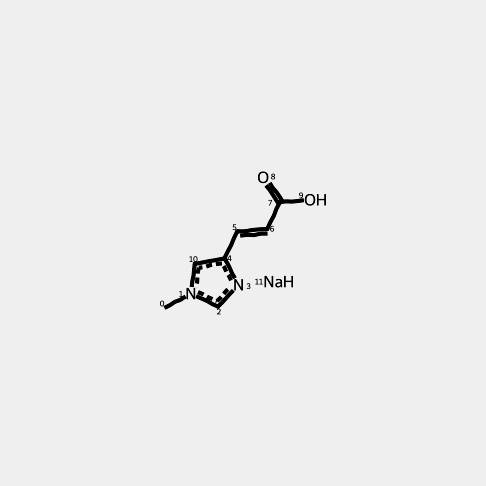 Cn1cnc(C=CC(=O)O)c1.[NaH]